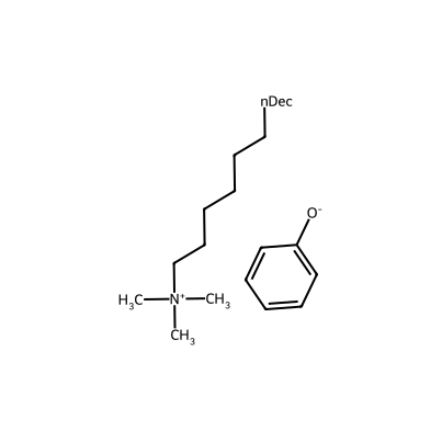 CCCCCCCCCCCCCCCC[N+](C)(C)C.[O-]c1ccccc1